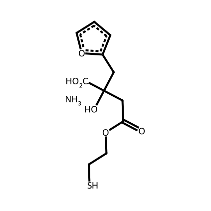 N.O=C(CC(O)(Cc1ccco1)C(=O)O)OCCS